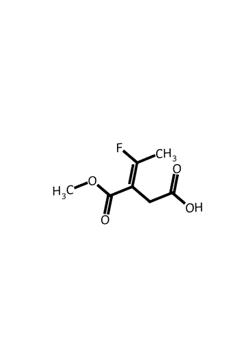 COC(=O)C(CC(=O)O)=C(C)F